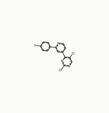 Fc1ccc(-c2cc(-c3nc(Cl)ncc3Cl)ccn2)cc1